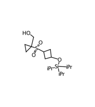 CC(C)[Si](OC1CC(S(=O)(=O)C2(CO)CC2)C1)(C(C)C)C(C)C